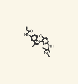 C=CC(=O)Nc1ccc2c(c1)c(C)cn2-c1nc(Nc2cn(C)nc2C)ncc1Cl